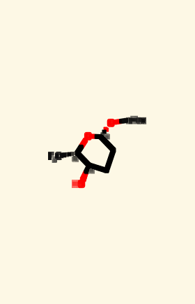 CCCCCCO[C@@H]1CC[C@@H](O)[C@H](C(F)(F)F)O1